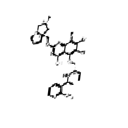 C=C[C@@H](COc1c(Cl)c(Br)c(F)c2nc(OC[C@@]34CCCN3C[C@H](F)C4)nc(O)c12)NC(C)c1cccnc1N